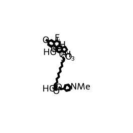 CNc1ccc(COP(=O)(O)CCCCCCCCCCSC(=O)[C@H]2CCC3[C@@H]4C[C@H](F)C5=CC(=O)C=C[C@]5(C)[C@@]4(F)[C@@H](O)C[C@@]32C)cc1